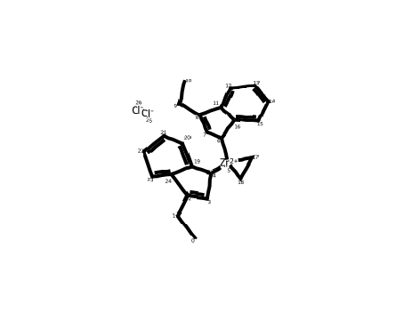 CCC1=C[CH]([Zr+2]2([CH]3C=C(CC)c4ccccc43)[CH2][CH2]2)c2ccccc21.[Cl-].[Cl-]